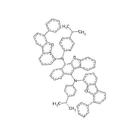 CC(C)c1ccc(N(c2cccc3c2oc2c(-c4ccccc4)cccc23)c2c3ccccc3c(N(c3ccc(C(C)C)cc3)c3cccc4c3oc3c(-c5ccccc5)cccc34)c3c2oc2ccccc23)cc1